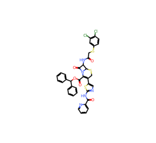 O=C(CSc1ccc(Cl)c(Cl)c1)NC1C(=O)N2C(C(=O)OC(c3ccccc3)c3ccccc3)=C(c3cnc(NC(=O)c4ccccn4)s3)CSC12